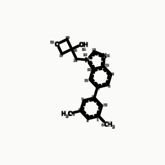 Cc1cc(C)cc(-c2ccc3ncn(CC4(O)COC4)c3c2)c1